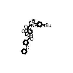 CC(C)C[C@H](NC(=O)c1ccc(C(C)(C)C)cc1)C(=O)N1CC[C@@H]2[C@H]1C(=O)CN2C(=O)c1cccc(Oc2ccccc2)c1